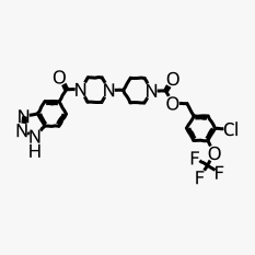 O=C(OCc1ccc(OC(F)(F)F)c(Cl)c1)N1CCC(N2CCN(C(=O)c3ccc4[nH]nnc4c3)CC2)CC1